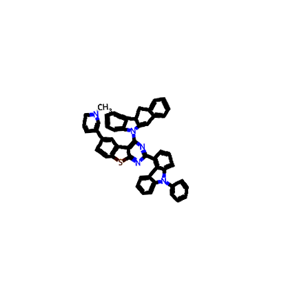 CN1C=C(c2ccc3sc4nc(-c5cccc6c5c5ccccc5n6-c5ccccc5)nc(N5C6=Cc7ccccc7CC6c6ccccc65)c4c3c2)C=CC1